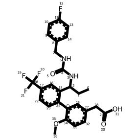 CCC(NC(=O)NCc1ccc(F)cc1)c1cc(C(F)(F)F)ccc1-c1cc(CC(=O)O)ccc1OC